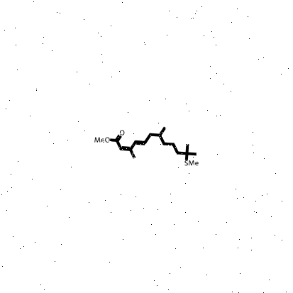 COC(=O)C=C(C)C=CCC(C)CCCC(C)(C)SC